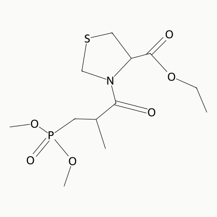 CCOC(=O)C1CSCN1C(=O)C(C)CP(=O)(OC)OC